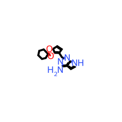 Nc1nc(C2=C3OC4(CCCCC4)OC3C=C2)nc2[nH]ccc12